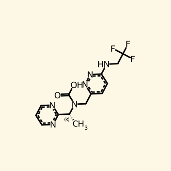 C[C@H](c1ncccn1)N(Cc1ccc(NCC(F)(F)F)nn1)C(=O)O